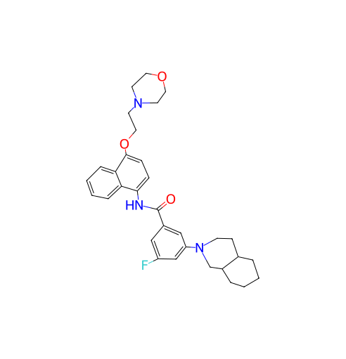 O=C(Nc1ccc(OCCN2CCOCC2)c2ccccc12)c1cc(F)cc(N2CCC3CCCCC3C2)c1